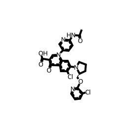 CC(=O)Nc1ccc(-n2cc(C(=O)O)c(=O)c3cc(Cl)c(N4CCC[C@@H]4COc4ncccc4Cl)cc32)cn1